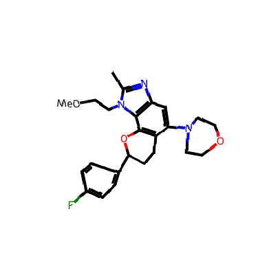 COCCn1c(C)nc2cc(N3CCOCC3)c3c(c21)OC(c1ccc(F)cc1)CC3